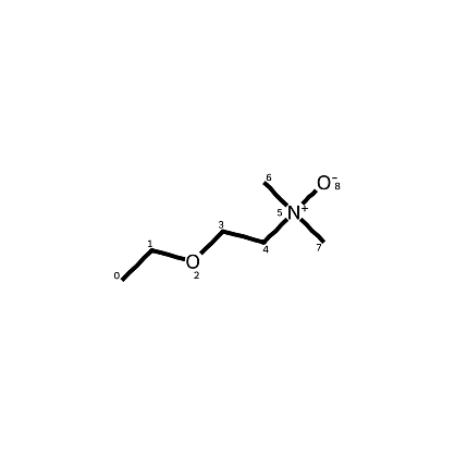 CCOCC[N+](C)(C)[O-]